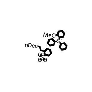 CCCCCCCCCCCCc1ccccc1S(=O)(=O)[O-].COc1ccccc1[S+](c1ccccc1)c1ccccc1